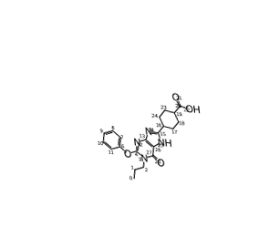 CCCn1c(Oc2ccccc2)nc2nc(C3CCC(C(=O)O)CC3)[nH]c2c1=O